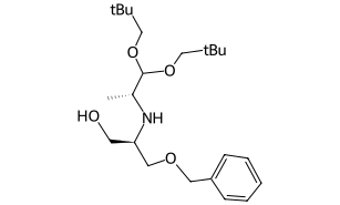 C[C@@H](N[C@H](CO)COCc1ccccc1)C(OCC(C)(C)C)OCC(C)(C)C